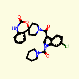 O=C1Nc2ccccc2C2(CCN(C(=O)c3cn(C(=O)N4CCCCC4)c4cc(Cl)ccc34)CC2)O1